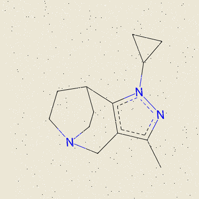 Cc1nn(C2CC2)c2c1CN1CCC2CC1